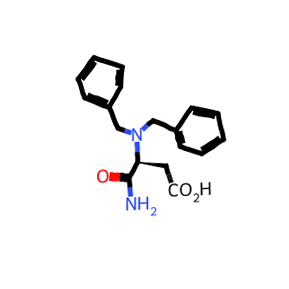 NC(=O)[C@H](CC(=O)O)N(Cc1ccccc1)Cc1ccccc1